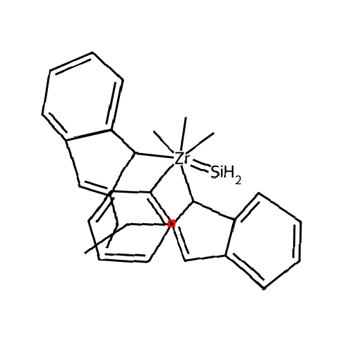 CCC1=Cc2ccccc2[CH]1[Zr]([CH3])([CH3])([CH3])(=[SiH2])([c]1ccccc1)[CH]1C(CC)=Cc2ccccc21